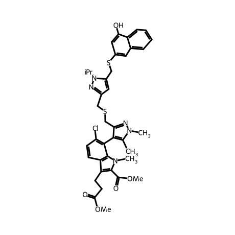 COC(=O)CCc1c(C(=O)OC)n(C)c2c(-c3c(CSCc4cc(CSc5cc(O)c6ccccc6c5)n(C(C)C)n4)nn(C)c3C)c(Cl)ccc12